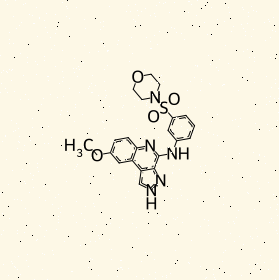 COc1ccc2nc(Nc3cccc(S(=O)(=O)N4CCOCC4)c3)c3n[nH]cc3c2c1